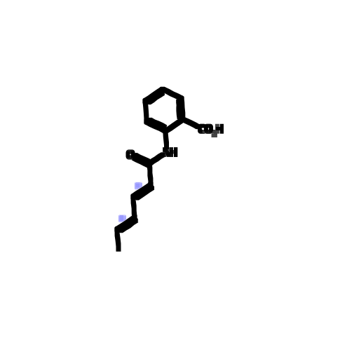 C/C=C/C=C/C(=O)Nc1ccccc1C(=O)O